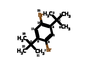 CC(C)(C)c1cc(Br)c(C(C)(C)C)cc1Br